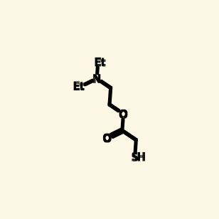 CCN(CC)CCOC(=O)CS